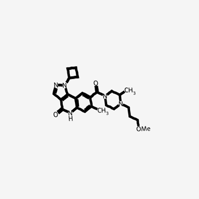 COCCCN1CCN(C(=O)c2cc3c(cc2C)[nH]c(=O)c2cnn(C4CCC4)c23)CC1C